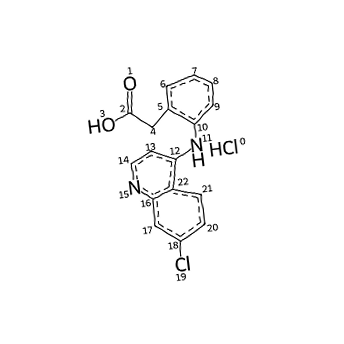 Cl.O=C(O)Cc1ccccc1Nc1ccnc2cc(Cl)ccc12